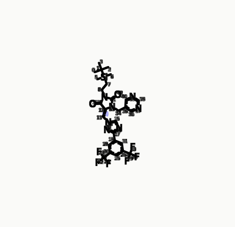 CC(C)(C)[Si](C)(C)CCN1C(=O)/C(=C/n2cnc(-c3cc(C(F)(F)F)cc(C(F)(F)F)c3)n2)N(Cc2cncnc2)C1=O